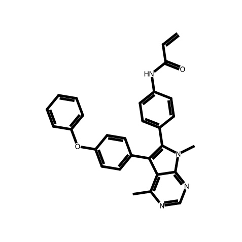 C=CC(=O)Nc1ccc(-c2c(-c3ccc(Oc4ccccc4)cc3)c3c(C)ncnc3n2C)cc1